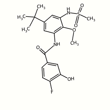 COc1c(NC(=O)c2ccc(F)c(O)c2)cc(C(C)(C)C)cc1NS(C)(=O)=O